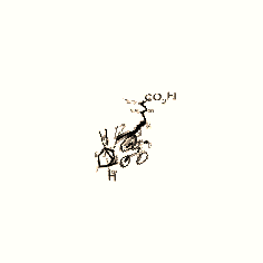 CS(=O)(=O)O[C@@H]1[C@H]2CC[C@H](C2)[C@H]1C/C=C\CCCC(=O)O